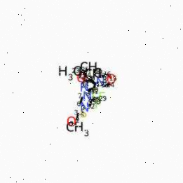 COCCSN1CCN(c2cc(N3CCOCC3C)cc(OC(C)(C)C)n2)C(C(F)(F)F)C1